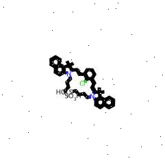 CC1(C)C(=CC=C2CCCC(C=CC3N(CCCCS(=O)(=O)O)c4ccc5ccccc5c4C3(C)C)=C2Cl)N(CCCCS(=O)(=O)O)c2ccc3ccccc3c21